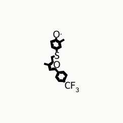 Cc1cc(SCc2oc(-c3ccc(C(F)(F)F)cc3)cc2C)ccc1[O]